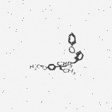 C=COc1ccc(C(C)(CC)COCc2cccc(Oc3ccccc3)c2)cc1